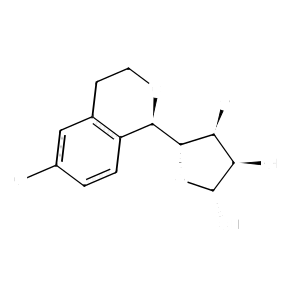 O[C@@H]1[C@H](O)[C@@H]([C@@H]2OCCc3cc(Cl)ccc32)O[C@H]1O